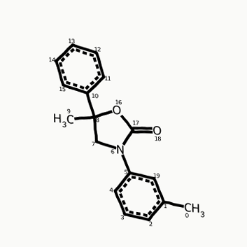 Cc1cccc(N2CC(C)(c3ccccc3)OC2=O)c1